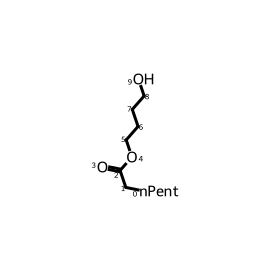 CCCCCCC(=O)OCCCCO